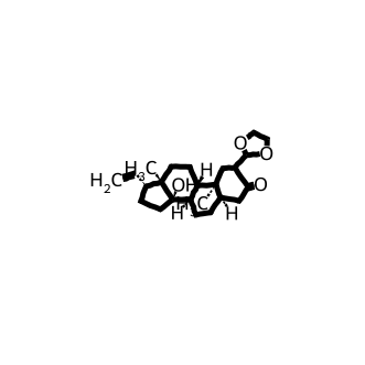 C=C[C@H]1CC[C@]2(O)[C@@H]3CC[C@@H]4CC(=O)C(C5OCCO5)C[C@]4(C)[C@H]3CC[C@]12C